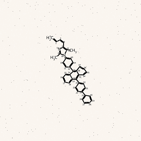 C=C/C=C\c1nc(C)n(-c2ccc(-c3c4ccccc4c(-c4ccc(-c5ccccc5)cc4)c4ccccc34)cc2)c1C